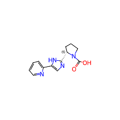 O=C(O)N1CCC[C@H]1c1ncc(-c2ccccn2)[nH]1